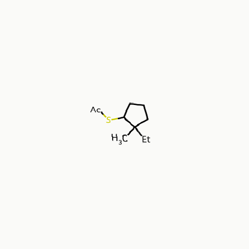 CCC1(C)CCCC1SC(C)=O